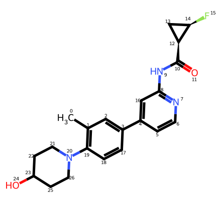 Cc1cc(-c2ccnc(NC(=O)[C@H]3C[C@H]3F)c2)ccc1N1CCC(O)CC1